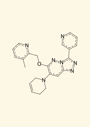 Cc1cccnc1COc1nn2c(-c3cccnc3)nnc2cc1N1CC=CCC1